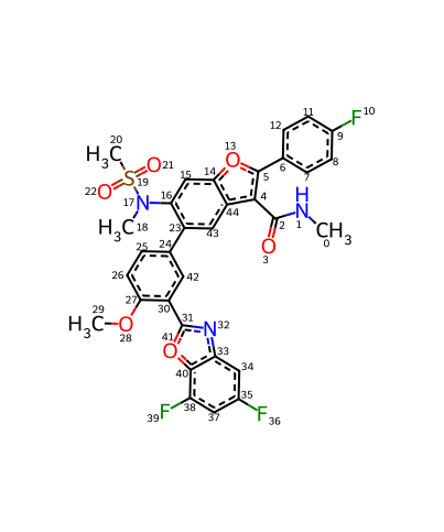 CNC(=O)c1c(-c2ccc(F)cc2)oc2cc(N(C)S(C)(=O)=O)c(-c3ccc(OC)c(-c4nc5cc(F)cc(F)c5o4)c3)cc12